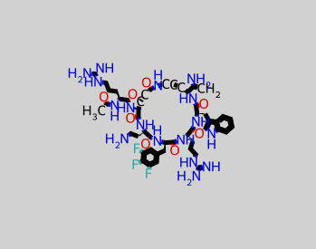 C=C(N)C1CCCNC(=O)CC[C@H](NC(=O)[C@H](CCCNC(=N)N)NC(C)=O)C(=O)N[C@@H](CCN)C(=O)N[C@H](Cc2cc(F)c(F)c(F)c2)C(=O)N[C@@H](CCCNC(=N)N)C(=O)N[C@@H](Cc2c[nH]c3ccccc23)C(=O)N1